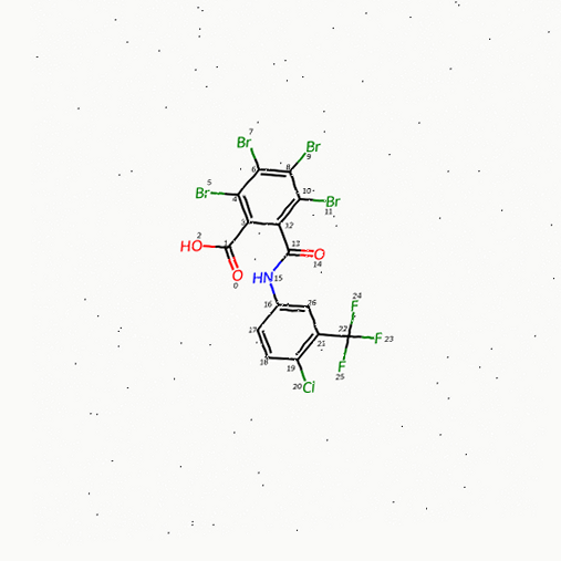 O=C(O)c1c(Br)c(Br)c(Br)c(Br)c1C(=O)Nc1ccc(Cl)c(C(F)(F)F)c1